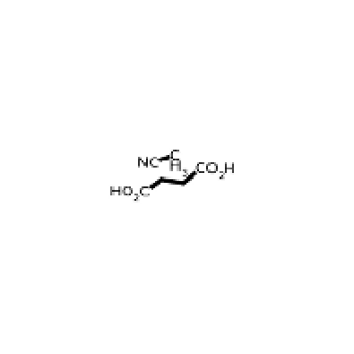 CC#N.O=C(O)CCC(=O)O